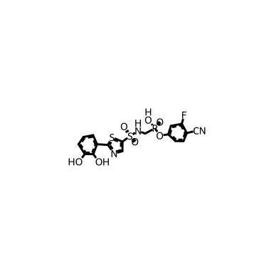 N#Cc1ccc(OP(=O)(O)CNS(=O)(=O)c2cnc(-c3cccc(O)c3O)s2)cc1F